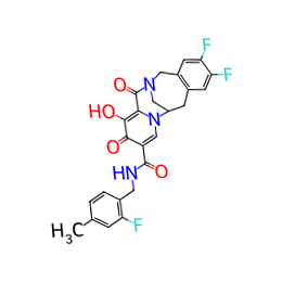 Cc1ccc(CNC(=O)c2cn3c(c(O)c2=O)C(=O)N2Cc4cc(F)c(F)cc4CC3C2)c(F)c1